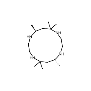 C[C@@H]1CC(C)(C)NCCN[C@@H](C)CC(C)(C)NCCN1